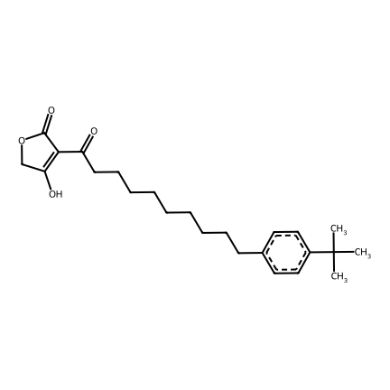 CC(C)(C)c1ccc(CCCCCCCCCC(=O)C2=C(O)COC2=O)cc1